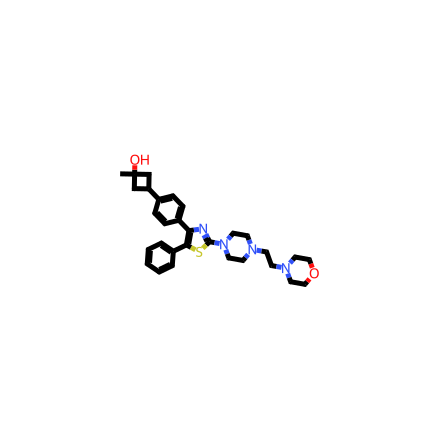 CC1(O)CC(c2ccc(-c3nc(N4CCN(CCN5CCOCC5)CC4)sc3-c3ccccc3)cc2)C1